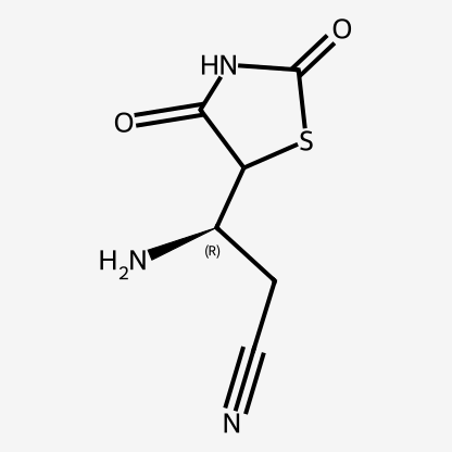 N#CC[C@@H](N)C1SC(=O)NC1=O